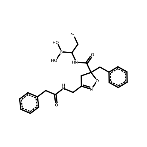 CC(C)CC(NC(=O)C1(Cc2ccccc2)CC(CNC(=O)Cc2ccccc2)=NO1)B(O)O